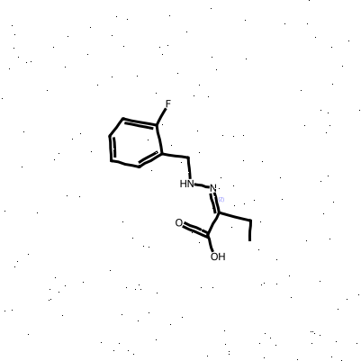 CC/C(=N/NCc1ccccc1F)C(=O)O